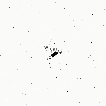 [CsH].[O]=[Ag].[W]